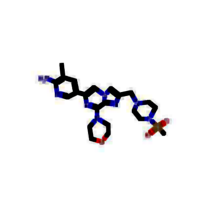 Cc1cc(-c2cn3cc(CN4CCN(S(C)(=O)=O)CC4)nc3c(N3CCOCC3)n2)cnc1N